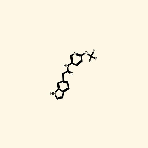 O=C(Cc1ccc2cc[nH]c2c1)Nc1ccc(OC(F)(F)F)nc1